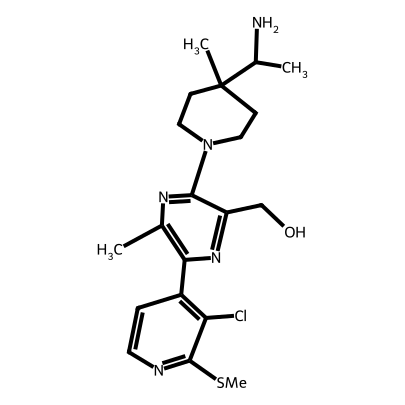 CSc1nccc(-c2nc(CO)c(N3CCC(C)(C(C)N)CC3)nc2C)c1Cl